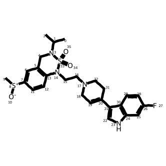 CC(C)N1Cc2cc([S+](C)[O-])ccc2N(CCN2CC=C(c3c[nH]c4cc(F)ccc34)CC2)S1(=O)=O